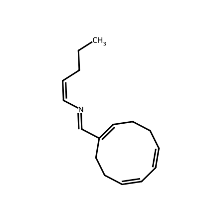 CCC\C=C/N=C/C1=C/CC/C=C\C=C/CC1